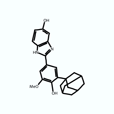 COc1cc(-c2nc3cc(O)ccc3[nH]2)cc(C23CC4CC(CC(C4)C2)C3)c1O